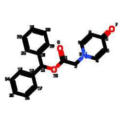 O=C(Cn1ccc(=O)cc1)OC(c1ccccc1)c1ccccc1